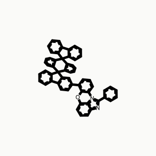 c1ccc(-c2nc3cccc4c3n2-c2cccc(-c3ccc5c(c3)C3(c6ccccc6-5)c5ccccc5C5(c6ccccc6-c6ccccc65)c5ccccc53)c2O4)cc1